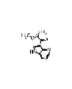 CON(C)C(=O)c1c[nH]c2cccnc12